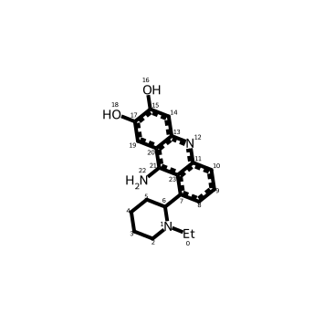 CCN1CCCCC1c1cccc2nc3cc(O)c(O)cc3c(N)c12